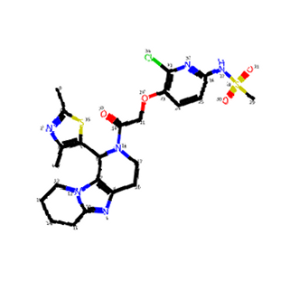 Cc1nc(C)c(C2c3c(nc4n3CCCC4)CCN2C(=O)COc2ccc(NS(C)(=O)=O)nc2Cl)s1